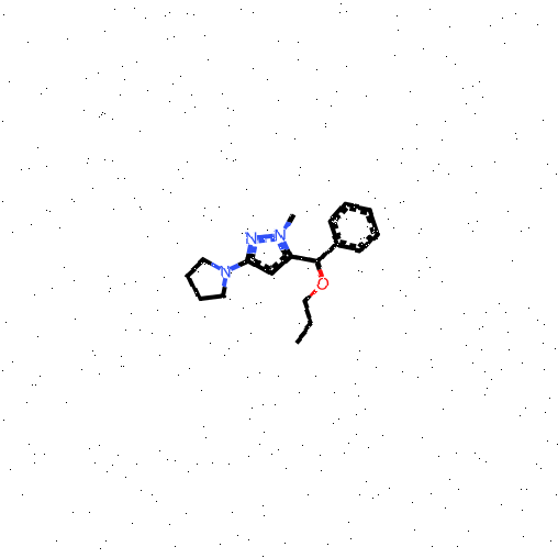 CCCOC(c1ccccc1)c1cc(N2CCCC2)nn1C